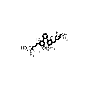 CC1(C)C=C(CCCC(C)(C)CO)C(O)C(c2ccccc2C2=CC(C)(C)C=C(CCCC(C)(C)C(=O)O)C2O)=C1